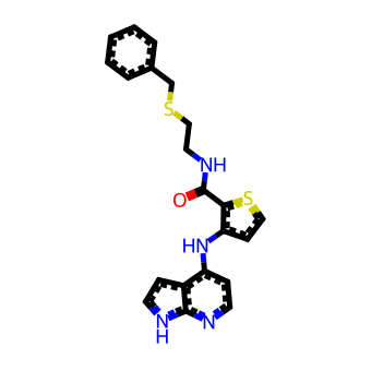 O=C(NCCSCc1ccccc1)c1sccc1Nc1ccnc2[nH]ccc12